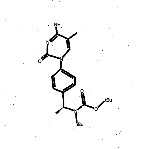 CCCCN(C(=O)OC(C)(C)C)[C@@H](C)c1ccc(-n2cc(C)c(N)nc2=O)cc1